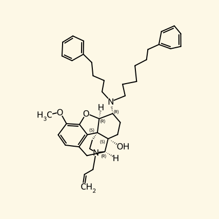 C=CCN1CC[C@]23c4c5ccc(OC)c4O[C@H]2[C@H](N(CCCCCCc2ccccc2)CCCCc2ccccc2)CC[C@@]3(O)[C@H]1C5